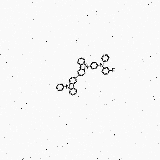 Fc1cccc(N(c2ccccc2)c2ccc(-n3c4ccccc4c4cc(-c5ccc6c(c5)c5ccccc5n6-c5ccccc5)ccc43)cc2)c1